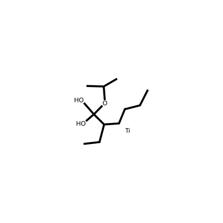 CCCCC(CC)C(O)(O)OC(C)C.[Ti]